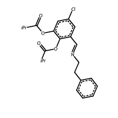 CC(C)C(=O)Oc1cc(Cl)cc(C=NCCc2ccccc2)c1OC(=O)C(C)C